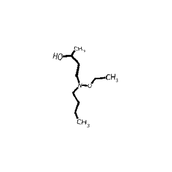 CCCCN(CCC(C)O)OCC